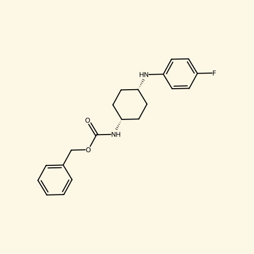 O=C(N[C@H]1CC[C@@H](Nc2ccc(F)cc2)CC1)OCc1ccccc1